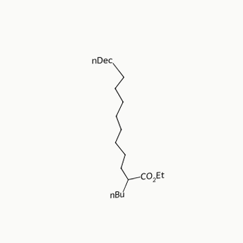 CCCCCCCCCCCCCCCCCCC(CCCC)C(=O)OCC